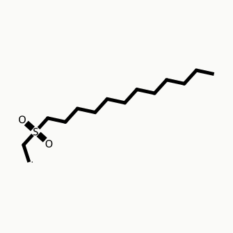 [CH2]CS(=O)(=O)CCCCCCCCCCCC